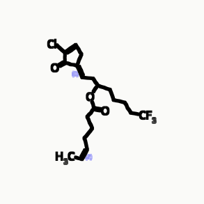 C/C=C\CCCC(=O)OC(C/C=C1\CC=C(Cl)C1=O)CCCCC(F)(F)F